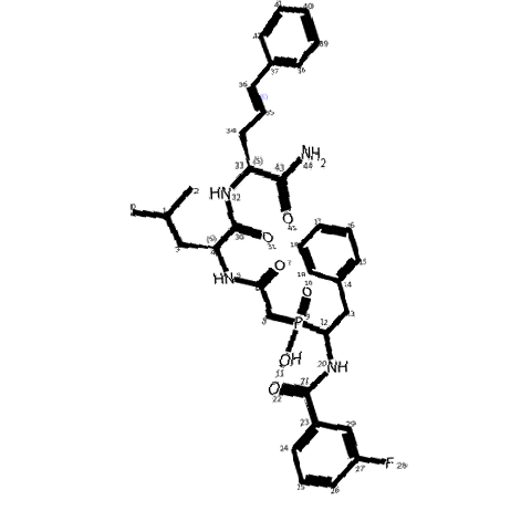 CC(C)C[C@H](NC(=O)CP(=O)(O)C(Cc1ccccc1)NC(=O)c1cccc(F)c1)C(=O)N[C@@H](C/C=C/c1ccccc1)C(N)=O